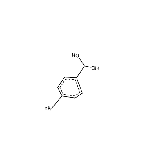 CCCc1ccc(C(O)O)cc1